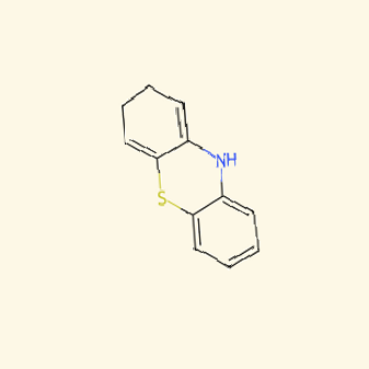 C1=C2Nc3ccccc3SC2=CCC1